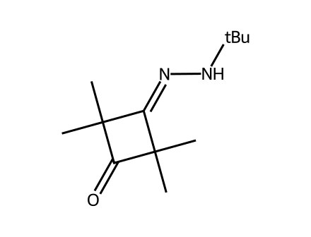 CC(C)(C)NN=C1C(C)(C)C(=O)C1(C)C